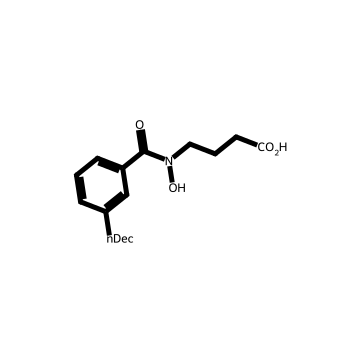 CCCCCCCCCCc1cccc(C(=O)N(O)CCCC(=O)O)c1